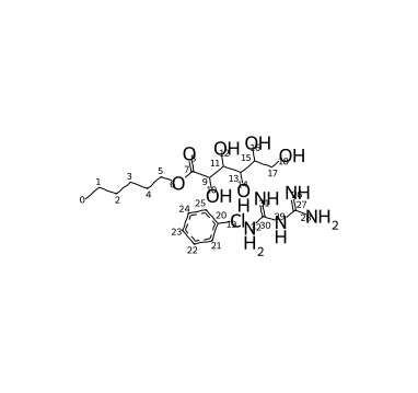 CCCCCCOC(=O)C(O)C(O)C(O)C(O)CO.Clc1ccccc1.N=C(N)NC(=N)N